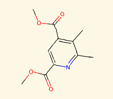 COC(=O)c1cc(C(=O)OC)c(C)c(C)n1